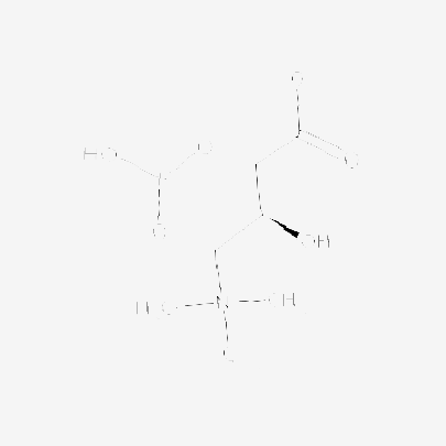 C[N+](C)(C)C[C@H](O)CC(=O)[O-].[O-][I+2]([O-])O